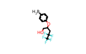 Bc1ccc(OC(CO)CC(F)(F)C(F)(F)F)cc1